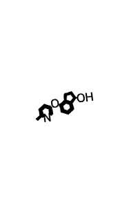 Cc1ccc(Oc2cccc3c2CC[C@@H]3O)cn1